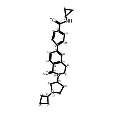 O=C(NC1CC1)c1ccc(-c2ccc3c(c2)CCN(C2CCN(C4CCC4)C2)C3=O)cc1